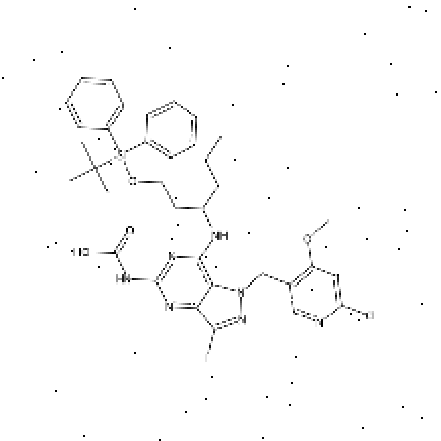 CCCC(CCO[Si](c1ccccc1)(c1ccccc1)C(C)(C)C)Nc1nc(NC(=O)O)nc2c(I)nn(Cc3cnc(Cl)cc3OC)c12